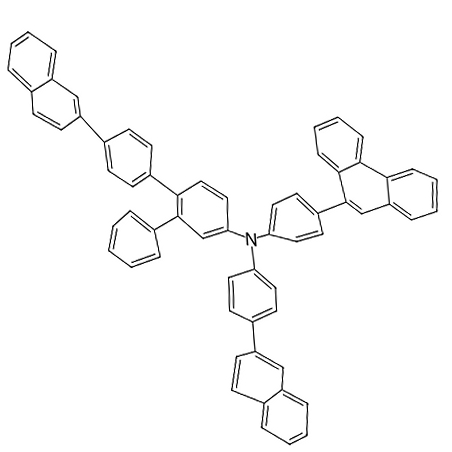 c1ccc(-c2cc(N(c3ccc(-c4ccc5ccccc5c4)cc3)c3ccc(-c4cc5ccccc5c5ccccc45)cc3)ccc2-c2ccc(-c3ccc4ccccc4c3)cc2)cc1